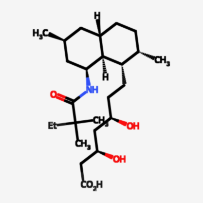 CCC(C)(C)C(=O)N[C@H]1C[C@@H](C)C[C@@H]2CC[C@H](C)[C@H](CC[C@@H](O)C[C@@H](O)CC(=O)O)[C@H]21